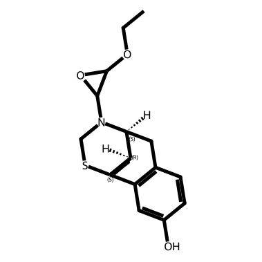 CCOC1OC1N1CS[C@@]23CCCC[C@@H]2[C@@H]1Cc1ccc(O)cc13